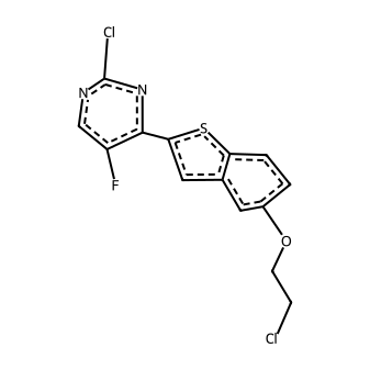 Fc1cnc(Cl)nc1-c1cc2cc(OCCCl)ccc2s1